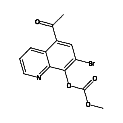 COC(=O)Oc1c(Br)cc(C(C)=O)c2cccnc12